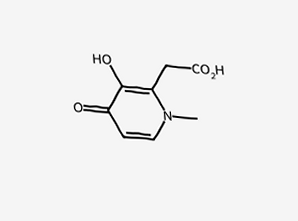 Cn1ccc(=O)c(O)c1CC(=O)O